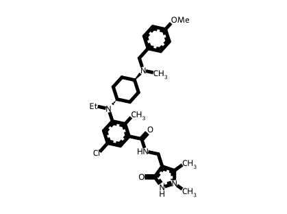 CCN(c1cc(Cl)cc(C(=O)NCc2c(C)n(C)[nH]c2=O)c1C)[C@H]1CC[C@H](N(C)Cc2ccc(OC)cc2)CC1